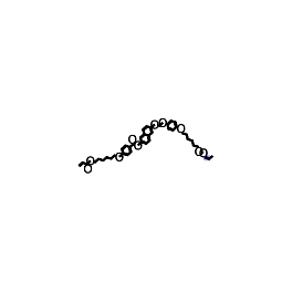 C=CC(=O)OCCCCCCOc1ccc(C(=O)Oc2ccc3cc(OCOc4ccc(OCCCCCCOO/C=C\C)cc4)ccc3c2)cc1